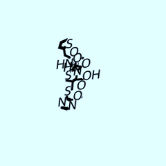 COc1nccnc1SCC1=C(C(=O)O)N2C(=O)[C@](NC(=O)Cc3cccs3)(OC)[C@@H]2SC1